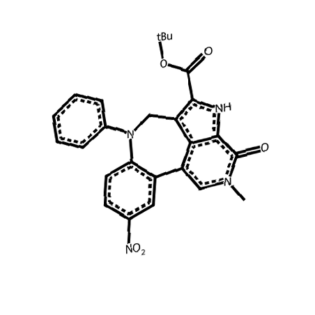 Cn1cc2c3c(c(C(=O)OC(C)(C)C)[nH]c3c1=O)CN(c1ccccc1)c1ccc([N+](=O)[O-])cc1-2